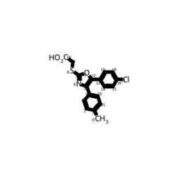 Cc1ccc(-c2nc(SCC(=O)O)oc2-c2ccc(Cl)cc2)cc1